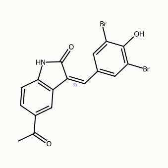 CC(=O)c1ccc2c(c1)/C(=C/c1cc(Br)c(O)c(Br)c1)C(=O)N2